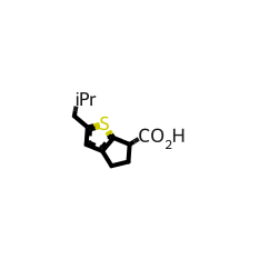 CC(C)Cc1cc2c(s1)C(C(=O)O)CC2